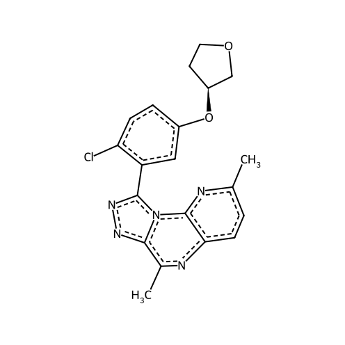 Cc1ccc2nc(C)c3nnc(-c4cc(O[C@H]5CCOC5)ccc4Cl)n3c2n1